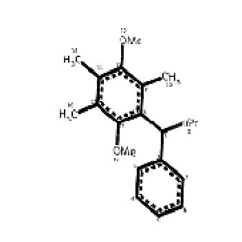 CCCC(c1ccccc1)c1c(C)c(OC)c(C)c(C)c1OC